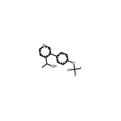 CC(O)c1ccncc1-c1ccc(OC(F)(F)F)cc1